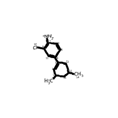 CC1C=C(c2ccc(N)c(Cl)c2)CC(C)C1